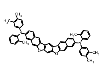 Cc1ccc(N(c2ccc3cc4c(cc3c2)oc2cc3oc5cc6cc(N(c7ccc(C)c(C)c7)c7ccccc7C)ccc6cc5c3cc24)c2ccccc2C)cc1C